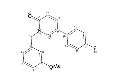 COc1cccc(Cn2nc(-c3ccc(F)cc3)ccc2=O)c1